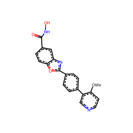 COc1ccncc1-c1ccc(-c2nc3cc(C(=O)NO)ccc3o2)cc1